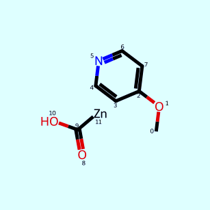 COc1ccncc1.O=[C](O)[Zn]